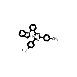 Cc1ccc(-c2nc(-c3ccc(C)cc3)nc(-c3ccccc3-n3ccc4ccccc43)n2)cc1